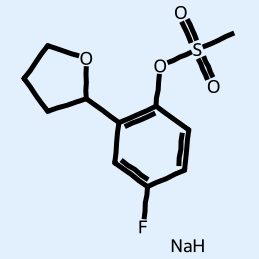 CS(=O)(=O)Oc1ccc(F)cc1C1CCCO1.[NaH]